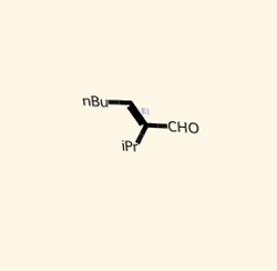 CCCC/C=C(/C=O)C(C)C